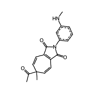 CNc1cccc(N2C(=O)C3=C(C=CC(C)(C(C)=O)C=C3)C2=O)c1